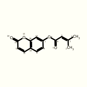 CC(C)=CC(=O)Oc1ccc2ccc(=O)oc2c1